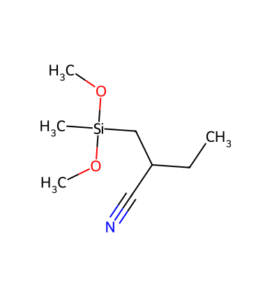 CCC(C#N)C[Si](C)(OC)OC